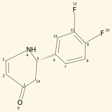 O=C1C=CN[C@H](c2ccc(F)c(F)c2)C1